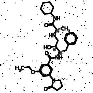 CCOc1cc(C(=O)N[C@@H](Cc2ccccc2)[C@@H](O)CN[C@@H](C)C(=O)NC2CCCCC2)cc(N2CCCC2=O)c1